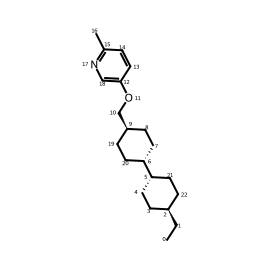 CC[C@H]1CC[C@H]([C@H]2CC[C@H](COc3ccc(C)nc3)CC2)CC1